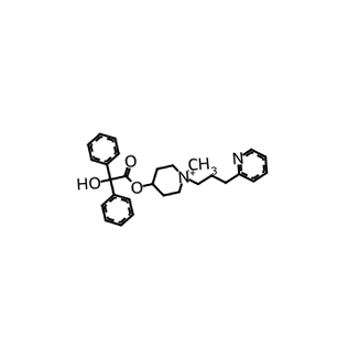 C[N+]1(CCCc2ccccn2)CCC(OC(=O)C(O)(c2ccccc2)c2ccccc2)CC1